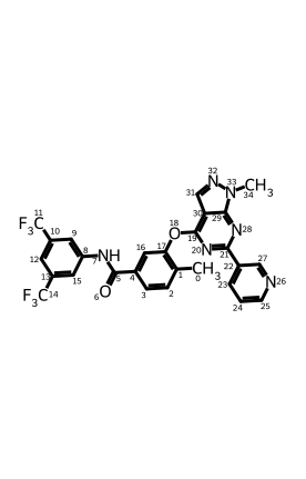 Cc1ccc(C(=O)Nc2cc(C(F)(F)F)cc(C(F)(F)F)c2)cc1Oc1nc(-c2cccnc2)nc2c1cnn2C